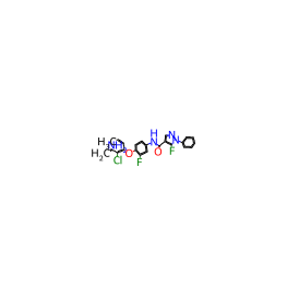 C=C(N)/C(Cl)=C(\C=C/C)Oc1ccc(NC(=O)c2cnn(-c3ccccc3)c2F)cc1F